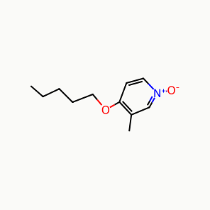 CCCCCOc1cc[n+]([O-])cc1C